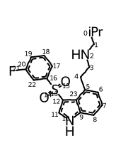 CC(C)CNCCc1cccc2[nH]cc(S(=O)(=O)c3cccc(F)c3)c12